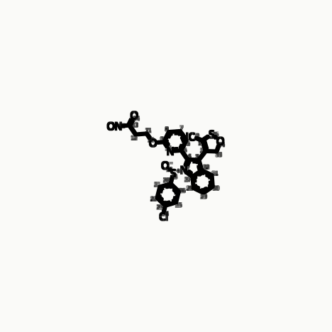 N#CC1=C(c2c(-c3cccc(OCCC(=O)N=O)n3)n([S+]([O-])c3ccc(Cl)cc3)c3ccccc23)COS1